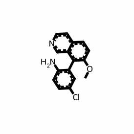 COc1ccc2ccncc2c1-c1cc(Cl)ccc1N